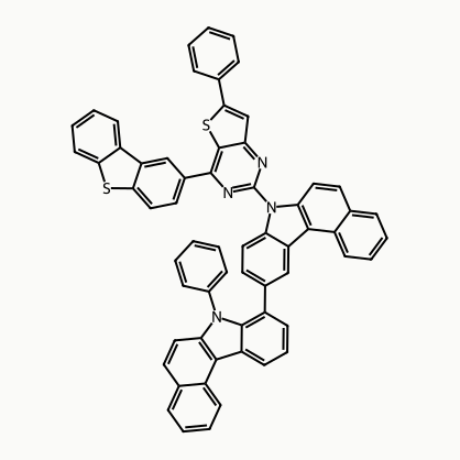 c1ccc(-c2cc3nc(-n4c5ccc(-c6cccc7c8c9ccccc9ccc8n(-c8ccccc8)c67)cc5c5c6ccccc6ccc54)nc(-c4ccc5sc6ccccc6c5c4)c3s2)cc1